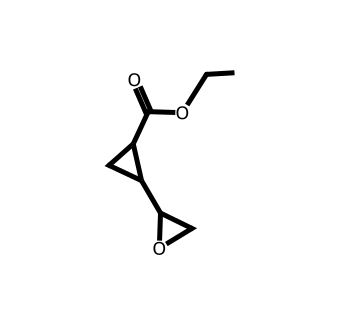 CCOC(=O)C1CC1C1CO1